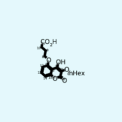 CCCCCCOc1c(O)c2c(OCCCC(=O)O)cccc2oc1=O